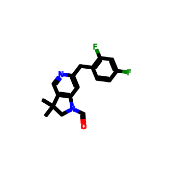 CC1(C)CN(C=O)c2cc(Cc3ccc(F)cc3F)ncc21